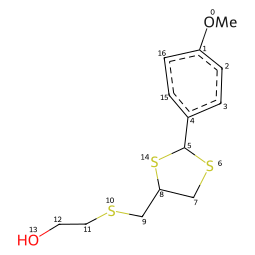 COc1ccc(C2SCC(CSCCO)S2)cc1